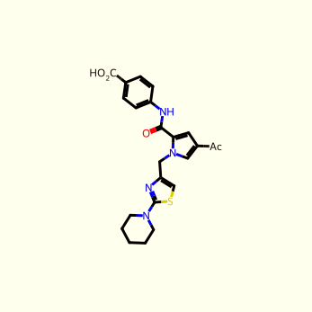 CC(=O)c1cc(C(=O)Nc2ccc(C(=O)O)cc2)n(Cc2csc(N3CCCCC3)n2)c1